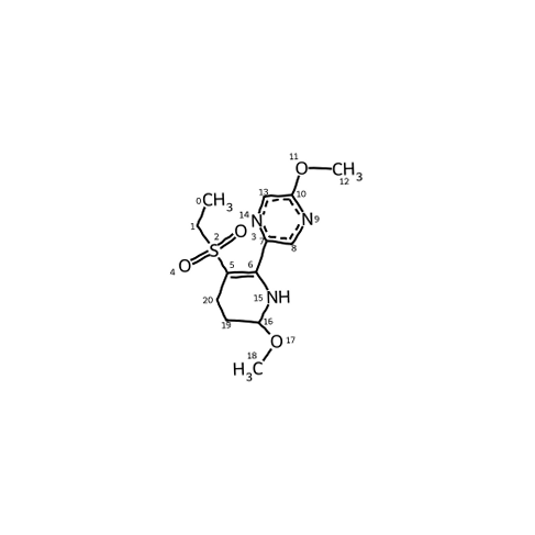 CCS(=O)(=O)C1=C(c2cnc(OC)cn2)NC(OC)CC1